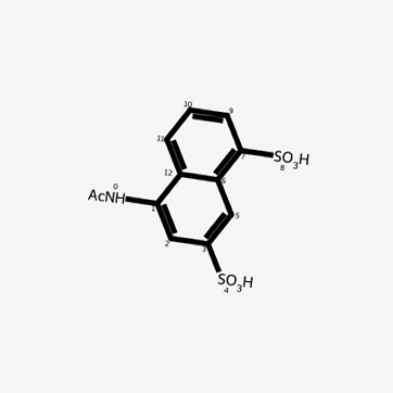 CC(=O)Nc1cc(S(=O)(=O)O)cc2c(S(=O)(=O)O)cccc12